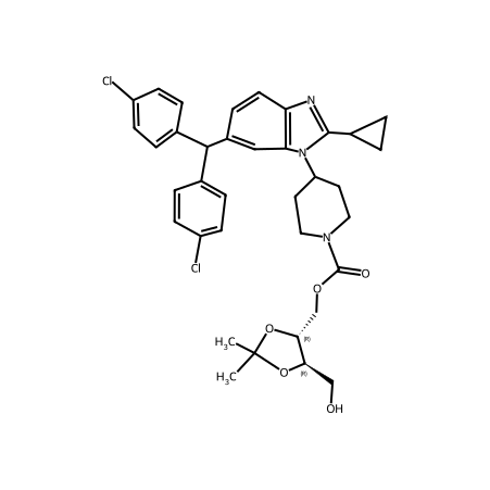 CC1(C)O[C@H](CO)[C@@H](COC(=O)N2CCC(n3c(C4CC4)nc4ccc(C(c5ccc(Cl)cc5)c5ccc(Cl)cc5)cc43)CC2)O1